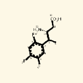 CC(c1cc(F)c(F)cc1F)[C@H](N)CC(=O)O